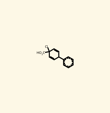 O=C(O)C1(Cl)C=CC(c2ccccc2)C=C1